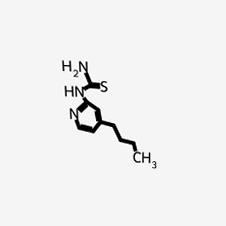 CCCCc1ccnc(NC(N)=S)c1